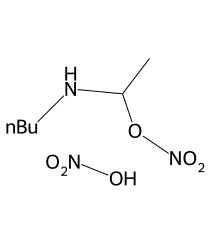 CCCCNC(C)O[N+](=O)[O-].O=[N+]([O-])O